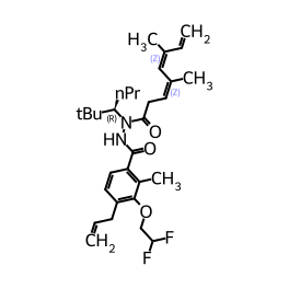 C=CCc1ccc(C(=O)NN(C(=O)C/C=C(C)\C=C(\C)C=C)[C@H](CCC)C(C)(C)C)c(C)c1OCC(F)F